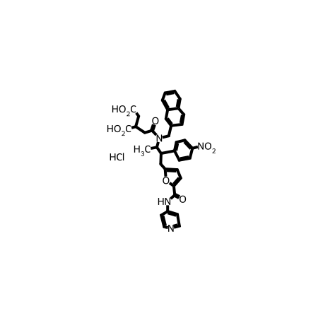 CC(C(Cc1ccc(C(=O)Nc2ccncc2)o1)c1ccc([N+](=O)[O-])cc1)N(Cc1ccc2ccccc2c1)C(=O)CC(CC(=O)O)C(=O)O.Cl